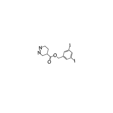 O=C(OCc1cc(I)cc(I)c1)C1CCN=NC1